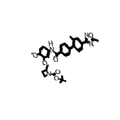 COc1ccc(NC(=O)c2ccc(-c3ccc(-c4noc(C)n4)cc3C)cc2)cc1OCC1CCN1C(=O)OC(C)(C)C